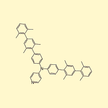 Cc1cccc(C)c1-c1cc(C)c(-c2ccc(N(c3ccncc3)c3ccc(-c4c(C)cc(-c5c(C)cccc5C)cc4C)cc3)cc2)c(C)c1